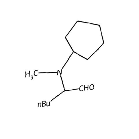 CCCCC(C=O)N(C)C1CCCCC1